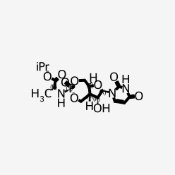 CC(C)OC(=O)[C@@H](C)N[P@]1(=O)OC[C@H]2[C@@H](O)[C@H](n3ccc(=O)[nH]c3=O)O[C@@H]2CO1